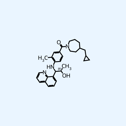 Cc1cc(C(=O)N2CCCC(CC3CC3)CC2)ccc1NC(c1cccc2cccnc12)[C@@H](C)O